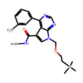 CC(=O)NNC(=O)c1cn(COCC[Si](C)(C)C)c2ncnc(-c3cccc([N+](=O)[O-])c3)c12